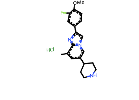 COc1ccc(-c2cn3cc(C4CCNCC4)cc(C)c3n2)cc1F.Cl